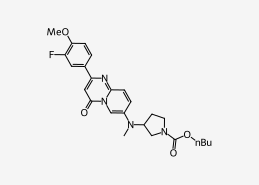 CCCCOC(=O)N1CCC(N(C)c2ccc3nc(-c4ccc(OC)c(F)c4)cc(=O)n3c2)C1